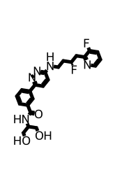 O=C(NC(CO)CO)c1cccc(-c2ccc(NCC[C@H](F)Cc3ncccc3F)nn2)c1